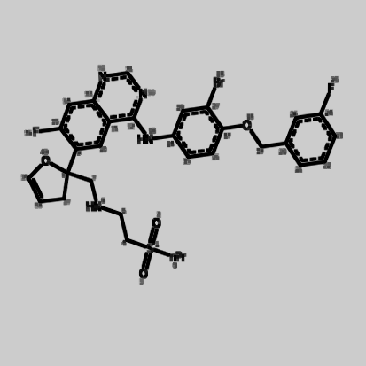 CCCS(=O)(=O)CCNCC1(c2cc3c(Nc4ccc(OCc5cccc(F)c5)c(Br)c4)ncnc3cc2F)CC=CO1